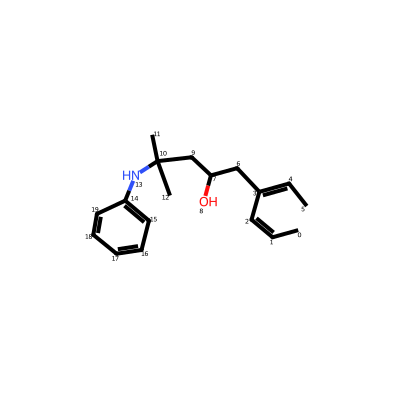 C/C=C\C(=C/C)CC(O)CC(C)(C)Nc1ccccc1